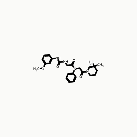 CSc1cccc(NC(=O)NCC(=O)N(CC(=O)N2CCCC(C)(C)C2)c2ccccc2)c1